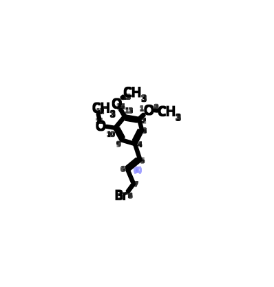 COc1cc(/C=C/CBr)cc(OC)c1OC